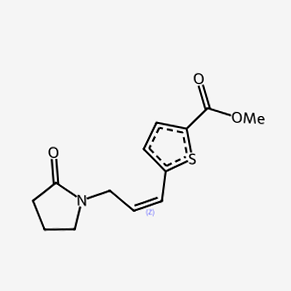 COC(=O)c1ccc(/C=C\CN2CCCC2=O)s1